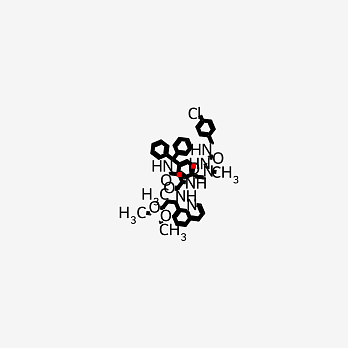 CCOC(OCC)[C@@H](C)[C@H](NC(=O)C(CC(=O)NC(c1ccccc1)(c1ccccc1)c1ccccc1)NC(=O)CN(C)NC(=O)NCc1ccc(Cl)cc1)c1cccc2cccnc12